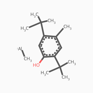 Cc1cc(C(C)(C)C)c(O)cc1C(C)(C)C.[CH3][Al]